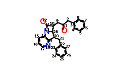 O=C(Cc1ccccc1)CC1C(=O)N2c3cccnc3C(Cc3ccccc3)C12